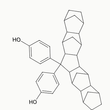 Oc1ccc(C2(c3ccc(O)cc3)C3C4CC(C5C6CCC(C6)C45)C3C3C4CC(C5C6CCC(C6)C45)C32)cc1